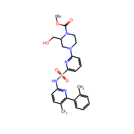 Cc1ccccc1-c1nc(NS(=O)(=O)c2cccc(N3CCN(C(=O)OC(C)(C)C)C(CO)C3)n2)ccc1C(F)(F)F